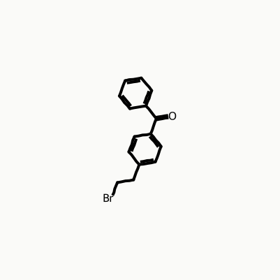 O=C(c1ccccc1)c1ccc(CCBr)cc1